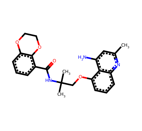 Cc1cc(N)c2c(OCC(C)(C)NC(=O)c3cccc4c3OCCO4)cccc2n1